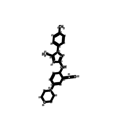 Cc1ccc(-n2nc(NC3C=CC(N4CCOCC4)=CC3=C=O)nc2N)cc1